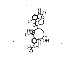 COC(=O)Nc1ccc2c(c1)NC(O)[C@H](C)CCCC(C(=O)N1CCC[C@@]3(C1)OC(=O)Nc1ccc(Cl)c(F)c13)c1nc-2c(Cl)[nH]1